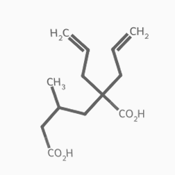 C=CCC(CC=C)(CC(C)CC(=O)O)C(=O)O